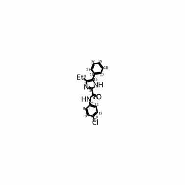 CCc1nc(C(=O)Nc2ccc(Cl)cc2)[nH]c1-c1ccccc1